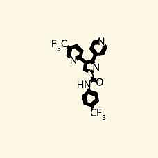 O=C(Nc1ccc(C(F)(F)F)cc1)N1CC(c2ccc(C(F)(F)F)cn2)C(c2ccncc2)=N1